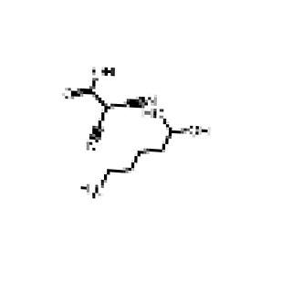 CCCCCC(O)O.N#CC(C#N)C(=O)O